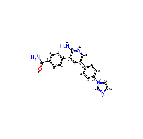 NC(=O)c1ccc(-c2cc(-c3ccc(-n4ccnc4)cc3)cnc2N)cc1